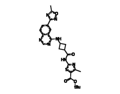 Cc1nc(-c2ccc3ncnc(NC4CC(C(=O)Nc5nc(C)c(C(=O)OC(C)(C)C)s5)C4)c3c2)no1